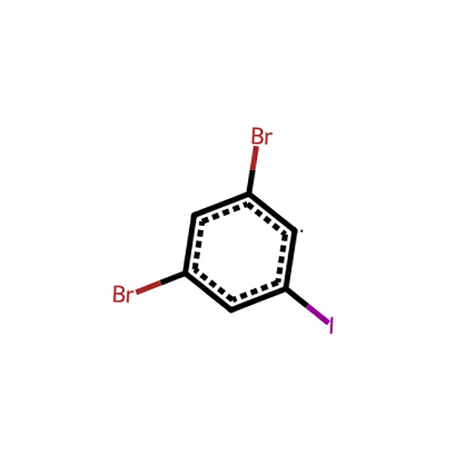 Brc1[c]c(I)cc(Br)c1